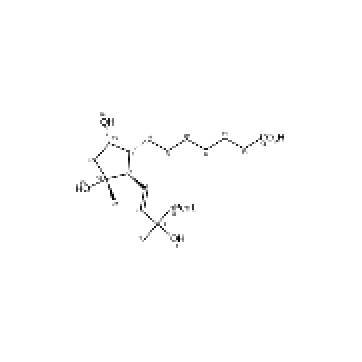 CCCCCC(C)(O)C=C[C@@H]1[C@@H](CCCCCCC(=O)O)[C@@H](O)C[C@@]1(C)O